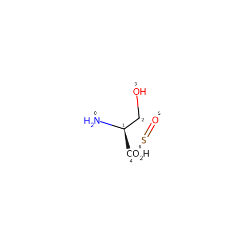 N[C@@H](CO)C(=O)O.O=S